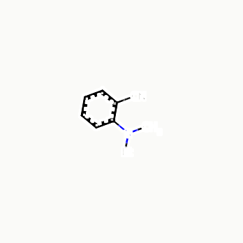 CCN(C)c1ccc[c]c1C#N